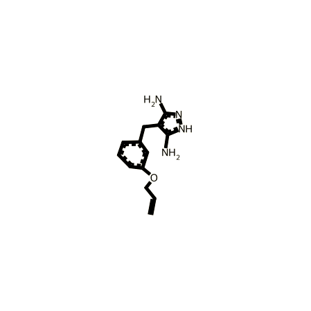 C=CCOc1cccc(Cc2c(N)n[nH]c2N)c1